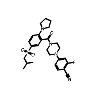 CC(C)CS(=O)(=O)c1ccc(N2CCCC2)c(C(=O)N2CCN(c3ccc(C#N)c(F)c3)CC2)c1